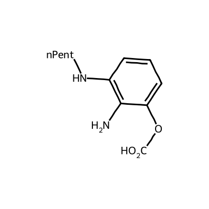 CCCCCNc1cccc(OC(=O)O)c1N